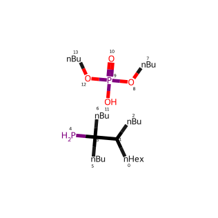 CCCCCCC(CCCC)C(P)(CCCC)CCCC.CCCCOP(=O)(O)OCCCC